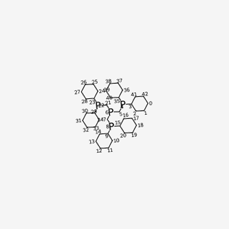 C1CCC(P(CP(CP(C2CCCCC2)C2CCCCC2)CP(C2CCCCC2)C2CCCCC2)C2CCCCC2)CC1